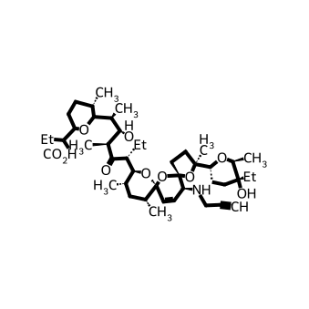 C#CCN[C@H]1C=C[C@]2(O[C@H]([C@@H](CC)C(=O)[C@@H](C)[C@@H](O)[C@H](C)C3OC(C(CC)C(=O)O)CC[C@@H]3C)[C@@H](C)C[C@H]2C)O[C@@]12CC[C@@](C)([C@H]1CC[C@](O)(CC)[C@H](C)O1)O2